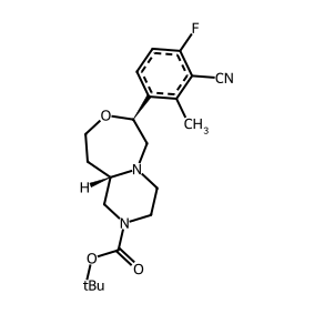 Cc1c([C@H]2CN3CCN(C(=O)OC(C)(C)C)C[C@@H]3CCO2)ccc(F)c1C#N